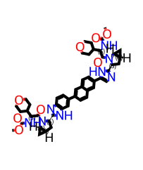 COC(=O)N[C@H](C(=O)N1[C@@H]2C[C@@H]2C[C@H]1c1ncc(-c2ccc3cc(-c4ccc5nc([C@@H]6C[C@H]7C[C@H]7N6C(=O)[C@@H](NC(=O)OC)C6CCOCC6)[nH]c5c4)ccc3c2)[nH]1)C1CCOCC1